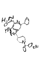 CC(C)(C)OC(=O)N1CCC(c2n[nH]c3c(C(N)=O)nc(-c4ccccc4)cc23)CC1